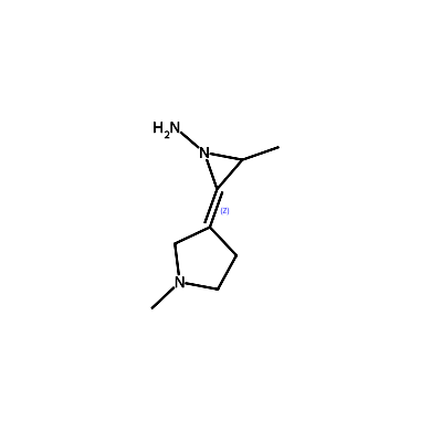 CC1/C(=C2\CCN(C)C2)N1N